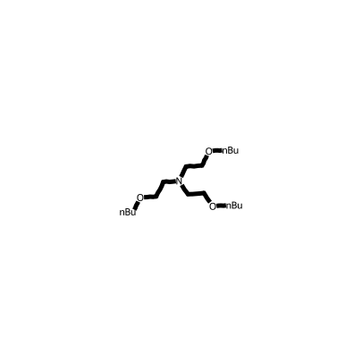 CCCCOCCN(CCOCCCC)CCOCCCC